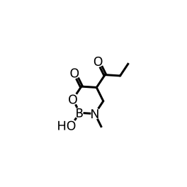 CCC(=O)C1CN(C)B(O)OC1=O